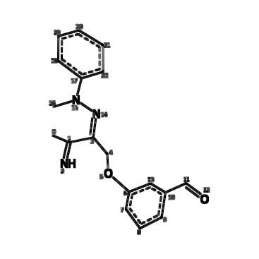 CC(=N)/C(COc1cccc(C=O)c1)=N\N(C)c1ccccc1